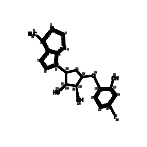 Cc1ncnc2c1ccn2C1CC(Oc2ccc(F)cc2O)[C@@H](O)[C@H]1O